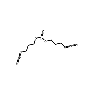 [N-]=[N+]=NCCCO[PH](=O)OCCCN=[N+]=[N-]